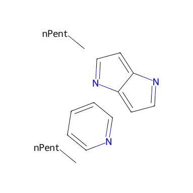 C1=NC2=CC=NC2=C1.CCCCCC.CCCCCC.c1ccncc1